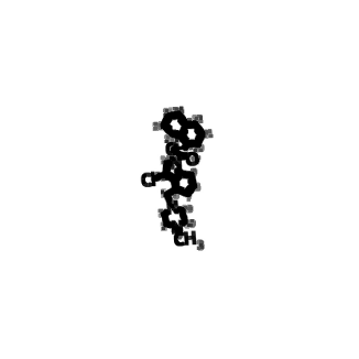 CN1CCN(Cc2cccc3c2c(Cl)cn3S(=O)(=O)c2cccc3ccccc23)CC1